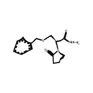 NC(=O)[C@H](CSCc1ccccc1)N1CCCC1=O